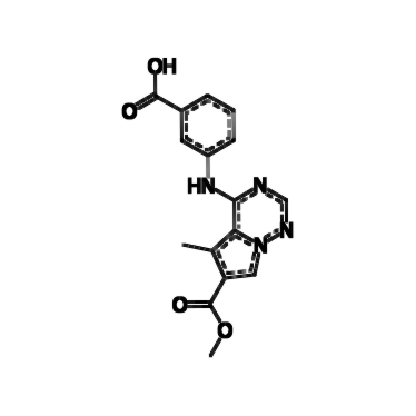 COC(=O)c1cn2ncnc(Nc3cccc(C(=O)O)c3)c2c1C